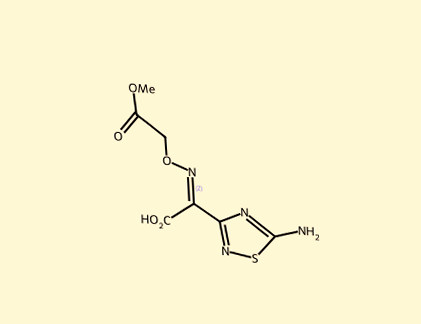 COC(=O)CO/N=C(\C(=O)O)c1nsc(N)n1